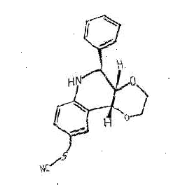 N#CSc1ccc2c(c1)[C@H]1OCCO[C@H]1[C@H](c1ccccc1)N2